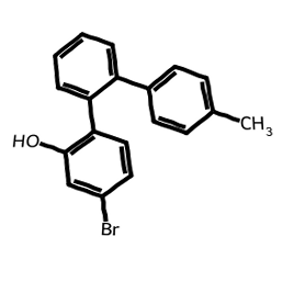 Cc1ccc(-c2ccccc2-c2ccc(Br)cc2O)cc1